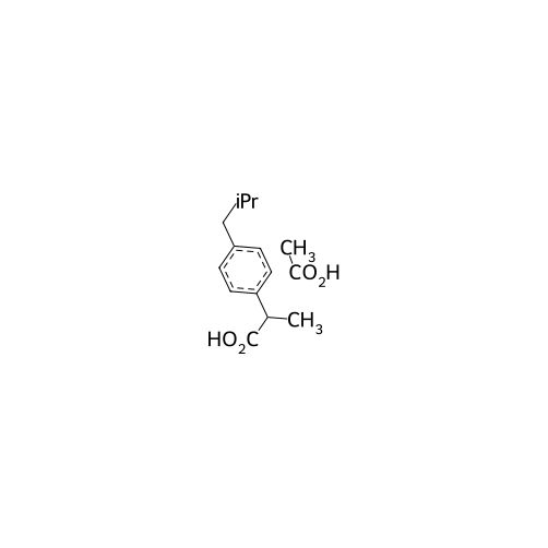 CC(=O)O.CC(C)Cc1ccc(C(C)C(=O)O)cc1